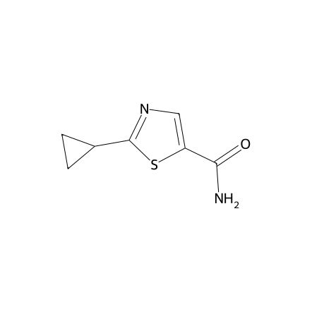 NC(=O)c1cnc(C2CC2)s1